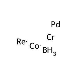 B.[Co].[Cr].[Pd].[Re]